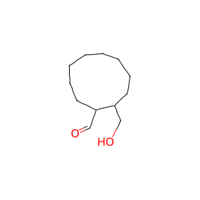 O=CC1CCCCCCCCC1CO